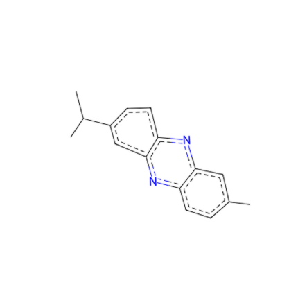 Cc1ccc2nc3cc(C(C)C)ccc3nc2c1